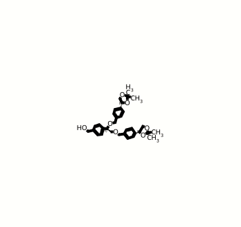 CC1(C)OC[C@@H](c2ccc(COC[C@H](OCc3ccc([C@@H]4COC(C)(C)O4)cc3)c3ccc(CO)cc3)cc2)O1